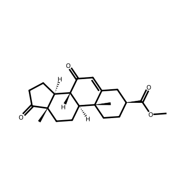 COC(=O)[C@H]1CC[C@@]2(C)C(=CC(=O)[C@@H]3[C@@H]2CC[C@]2(C)C(=O)CC[C@@H]32)C1